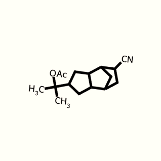 CC(=O)OC(C)(C)C1CC2C3CC(C#N)C(C3)C2C1